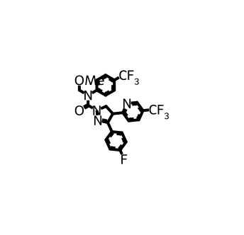 COCN(C(=O)N1CC(c2ccc(C(F)(F)F)cn2)C(c2ccc(F)cc2)=N1)c1ccc(C(F)(F)F)cc1